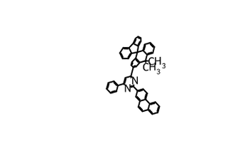 CC1(C)c2ccccc2C2(c3ccccc3-c3ccccc32)c2ccc(-c3cc(-c4ccccc4)nc(-c4ccc5c(ccc6ccccc65)c4)n3)cc21